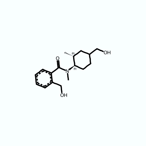 C[C@@H]1CC(CO)CC[C@H]1N(C)C(=O)c1ccccc1CO